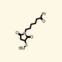 CC(C)C(=O)CCCCCN1C(=O)CC(SC(C)(C)C)C1=O